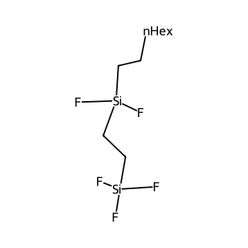 CCCCCCCC[Si](F)(F)CC[Si](F)(F)F